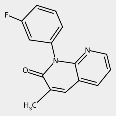 Cc1cc2cccnc2n(-c2cccc(F)c2)c1=O